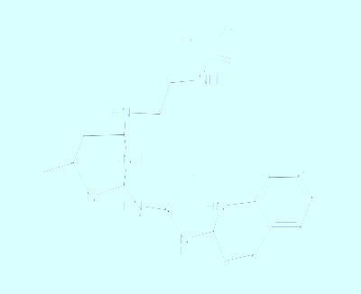 CC1CC(NCCNS(C)(=O)=O)NC(NC(=O)NC2CCc3ccccc3N2)N1